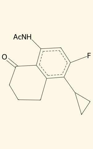 CC(=O)Nc1cc(F)c(C2CC2)c2c1C(=O)CCC2